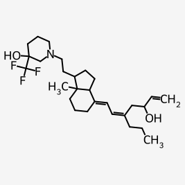 C=CC(O)C/C(=C\C=C1/CCCC2(C)C(CCN3CCCC(O)(C(F)(F)F)C3)CCC12)CCC